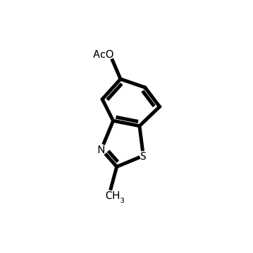 CC(=O)Oc1ccc2sc(C)nc2c1